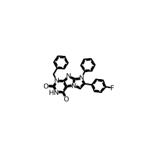 O=c1[nH]c(=O)n(Cc2ccccc2)c2nc3n(-c4ccccc4)c(-c4ccc(F)cc4)cn3c12